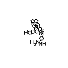 Cl.N=C(N)c1ccc(Cc2nc3cc(N(CC(=O)O)S(=O)(=O)c4cccc5cccnc45)ccc3s2)cc1